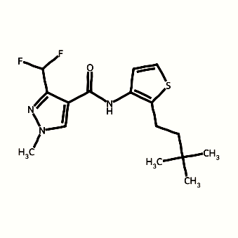 Cn1cc(C(=O)Nc2ccsc2CCC(C)(C)C)c(C(F)F)n1